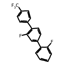 Fc1ccccc1-c1ccc(-c2ccc(C(F)(F)F)cc2)c(F)c1